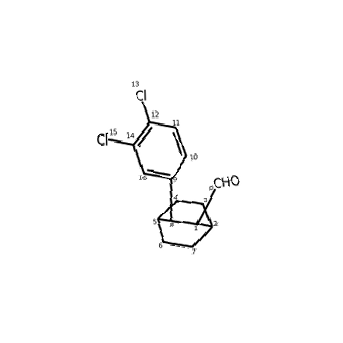 O=CC1C2CCC(CC2)C1c1ccc(Cl)c(Cl)c1